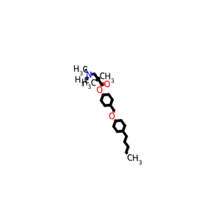 CCCCCC1CCC(OCC2CCC(OC(=O)C(C)(C)CN(C)C)CC2)CC1